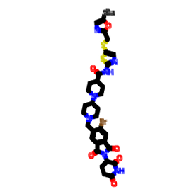 CC(C)(C)c1cnc(CSc2cnc(NC(=O)C3CCN(C4CCN(Cc5cc6c(cc5Br)C(=O)N(C5CCC(=O)NC5=O)C6=O)CC4)CC3)s2)o1